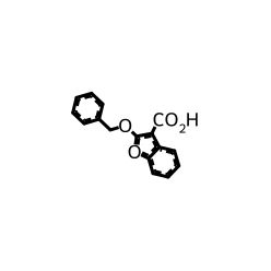 O=C(O)c1c(OCc2ccccc2)oc2ccccc12